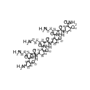 COc1ccc(NC(=O)[C@H](CCCCN)NC(=O)c2cc(NC(=O)[C@H](CCCCCN)NC(=O)c3cc(NC(=O)[C@H](CCCCN)NC(=O)c4cc(N)ccc4OC)ccc3OC)ccc2OC)cc1C(N)=O